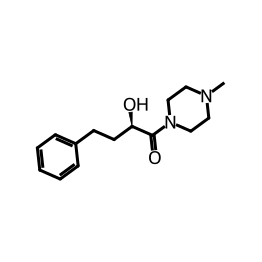 CN1CCN(C(=O)[C@H](O)CCc2ccccc2)CC1